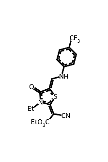 CCOC(=O)C(C#N)=c1sc(=CNc2ccc(C(F)(F)F)cc2)c(=O)n1CC